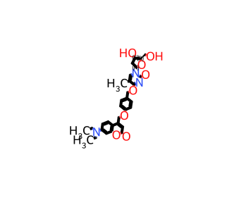 CCN(CC)c1ccc2c(COc3ccc(COc4nc(=O)n([C@H]5C[C@H](O)[C@@H](CO)O5)cc4C)cc3)cc(=O)oc2c1